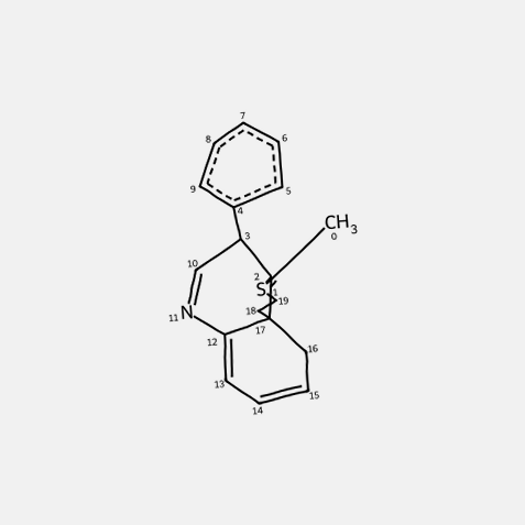 CS1=C2C(c3ccccc3)C=NC3=CC=CCC32CC1